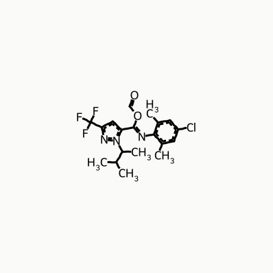 Cc1cc(Cl)cc(C)c1/N=C(\OC=O)c1cc(C(F)(F)F)nn1C(C)C(C)C